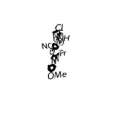 COc1ccc(-n2cc(Oc3ccc(S(=O)(=O)Nc4ncc(Cl)s4)cc3C#N)c(C(C)C)n2)cc1